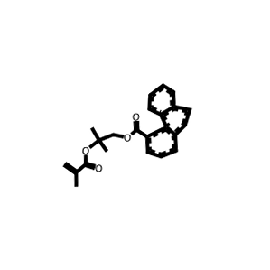 C=C(C)C(=O)OC(C)(C)COC(=O)c1cccc2ccc3ccccc3c12